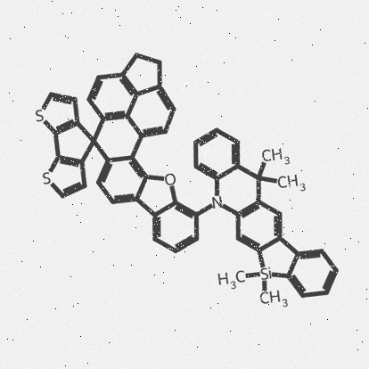 CC1(C)c2ccccc2N(c2cccc3c2oc2c4c(ccc23)C2(c3ccsc3-c3sccc32)c2ccc3c5c(ccc-4c25)CC3)c2cc3c(cc21)-c1ccccc1[Si]3(C)C